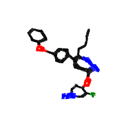 CCCCc1nnc(OC2CCNCC2F)cc1-c1ccc(OC2CCCCC2)cc1